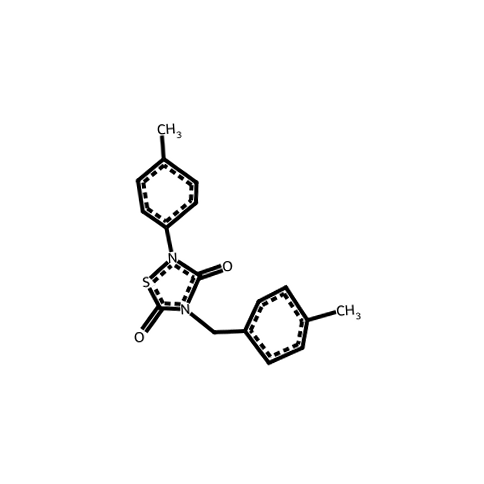 Cc1ccc(Cn2c(=O)sn(-c3ccc(C)cc3)c2=O)cc1